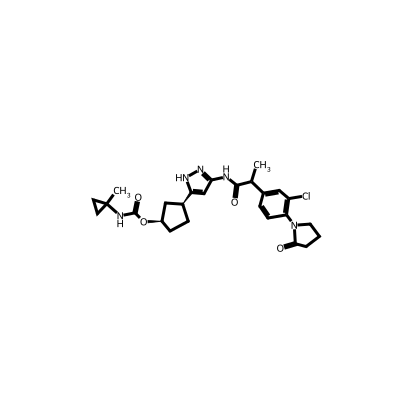 CC(C(=O)Nc1cc([C@H]2CC[C@@H](OC(=O)NC3(C)CC3)C2)[nH]n1)c1ccc(N2CCCC2=O)c(Cl)c1